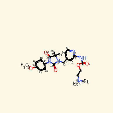 CCN(CC)CCOC(=O)Nc1cc(CN2C(=O)N(c3ccc(OC(F)(F)F)cc3)C(=O)C2(C)C)ccn1